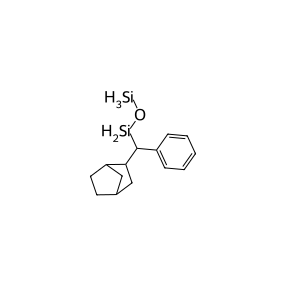 [SiH3]O[SiH2]C(c1ccccc1)C1CC2CCC1C2